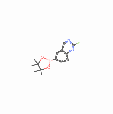 CC1(C)OB(c2ccc3nc(F)ncc3c2)OC1(C)C